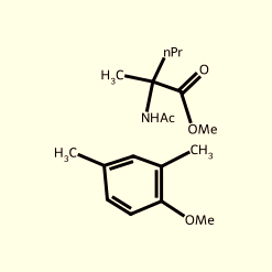 CCCC(C)(NC(C)=O)C(=O)OC.COc1ccc(C)cc1C